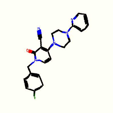 N#Cc1c(N2CCN(c3ccccn3)CC2)ccn(Cc2ccc(F)cc2)c1=O